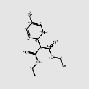 CCOC(=O)C(C(=O)OCC)C1C=CC(Br)=CN1